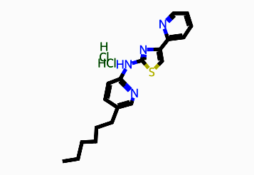 CCCCCCc1ccc(Nc2nc(-c3ccccn3)cs2)nc1.Cl.Cl